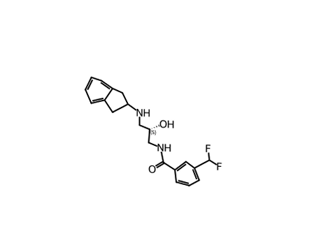 O=C(NC[C@@H](O)CNC1Cc2ccccc2C1)c1cccc(C(F)F)c1